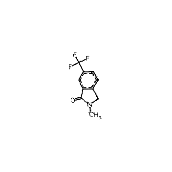 CN1Cc2ccc(C(F)(F)F)cc2C1=O